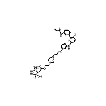 C=CC(=O)Nc1cccc(-c2nc(Nc3cccc(OCCCN4CCN(CCOC(=O)CC(P(=O)(O)O)P(=O)(O)O)CC4)c3)ncc2Cl)c1